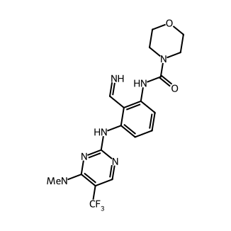 CNc1nc(Nc2cccc(NC(=O)N3CCOCC3)c2C=N)ncc1C(F)(F)F